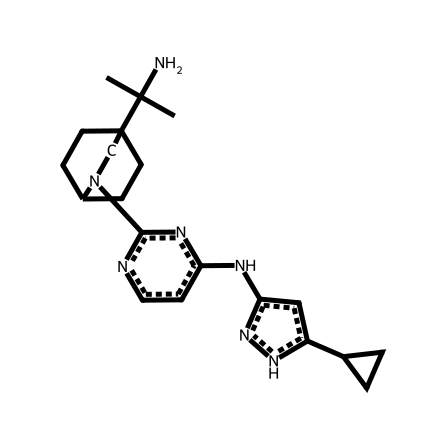 CC(C)(N)C12CCC(CC1)N(c1nccc(Nc3cc(C4CC4)[nH]n3)n1)C2